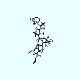 C=CCNC(=O)C(=O)C(CCCC)NC(=O)C1[C@@H]2[C@H](CN1C(=O)C(NC(=O)NC(CN1CCCNS1(=O)=O)C(C)(C)C)C(C)(C)C)C2(Cl)Cl